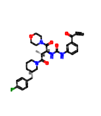 CNC(=O)c1cccc(NC(=O)N[C@H](C(=O)N2CCOCC2)[C@@H](C)C(=O)N2CCC[C@@H](Cc3ccc(F)cc3)C2)c1